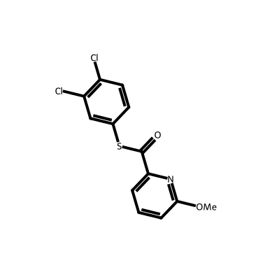 COc1cccc(C(=O)Sc2ccc(Cl)c(Cl)c2)n1